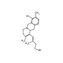 CCc1c(C)ccc2c1CN1CCC(C)=C(/C=C(\C)CCC(C)C)C1C2